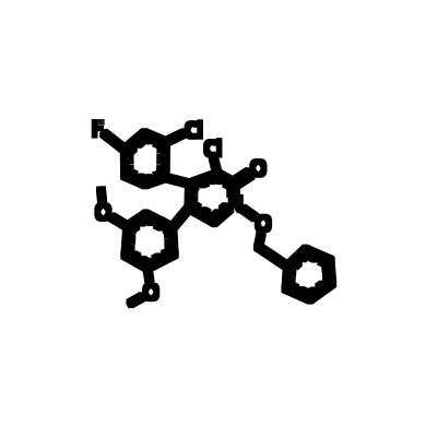 COc1cc(OC)cc(-c2cn(OCc3ccccc3)c(=O)c(Cl)c2-c2ccc(F)cc2Cl)c1